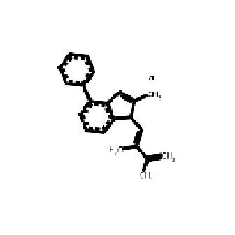 C=C(C)C(C)=CC1C(C)=Cc2c(-c3ccccc3)cccc21.[Zr]